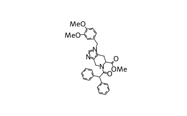 COC(=O)C1Cc2c(ncn2Cc2ccc(OC)c(OC)c2)CN1C(=O)C(c1ccccc1)c1ccccc1